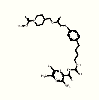 CC(C)(C)OC(=O)N1CCC(COC(=O)COc2ccc(CCCCNC(=N)NC(=O)c3nc(Cl)c(N)nc3N)cc2)CC1